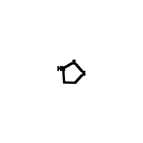 C1CSSN1